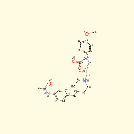 COc1ccc(N2C[C@H](CN3CCC(Cc4ccc(NC(C)=O)cc4)CC3)OC2=O)cc1